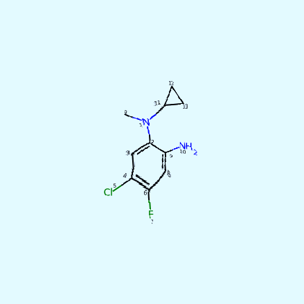 CN(c1cc(Cl)c(F)cc1N)C1CC1